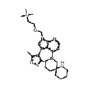 Cc1noc(C)c1-c1cn(COCC[Si](C)(C)C)c2nccc(N3CCCC4(CCCCN4)C3)c12